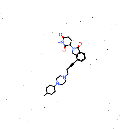 CC1CCC(N2CCN(CCC#Cc3cccc4c3CN(C3CCC(=O)NC3=O)C4=O)CC2)CC1